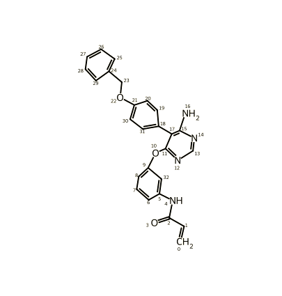 C=CC(=O)Nc1cccc(Oc2ncnc(N)c2-c2ccc(OCc3ccccc3)cc2)c1